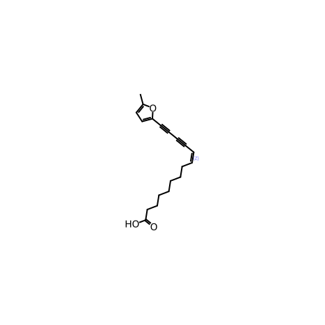 Cc1ccc(C#CC#C/C=C\CCCCCCCC(=O)O)o1